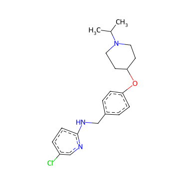 CC(C)N1CCC(Oc2ccc(CNc3ccc(Cl)cn3)cc2)CC1